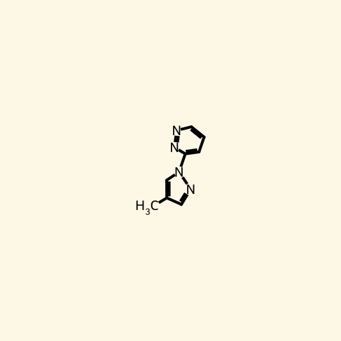 Cc1cnn(-c2cccnn2)c1